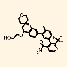 Cc1ccc(-c2c(C(N)=O)ccnc2C(F)(F)F)cc1-c1ccc2c(c1)OC1(CCOCC1)CC2OCCO